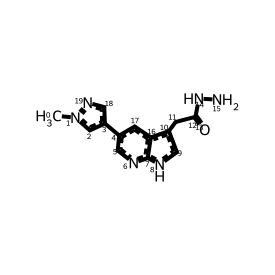 Cn1cc(-c2cnc3[nH]cc(CC(=O)NN)c3c2)cn1